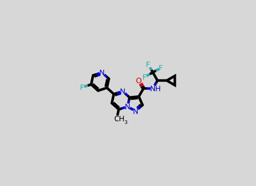 Cc1cc(-c2cncc(F)c2)nc2c(C(=O)NC(C3CC3)C(F)(F)F)cnn12